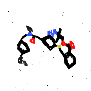 CCN(Cc1ccc(C(F)(F)F)cc1)C(=O)Cc1ccc(SCc2ccccc2C(=O)OCC(C)(C)N)cc1